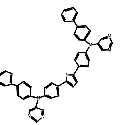 c1ccc(-c2ccc(N(c3ccc(-c4ccc(-c5ccc(N(c6ccc(-c7ccccc7)cc6)c6cncnc6)cc5)s4)cc3)c3cncnc3)cc2)cc1